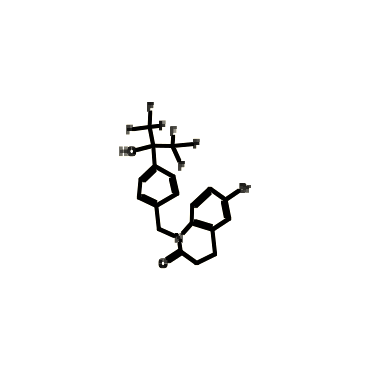 O=C1CCc2cc(Br)ccc2N1Cc1ccc(C(O)(C(F)(F)F)C(F)(F)F)cc1